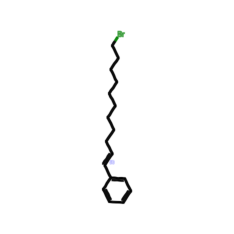 BrCCCCCCCCC/C=C/c1ccccc1